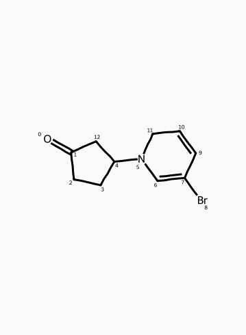 O=C1CCC(N2C=C(Br)C=CC2)C1